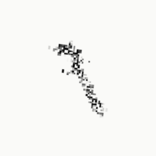 CCOc1cc(N2CCC(N3CCN(C(=O)CN4CCN(c5cc(F)c([C@H]6CCC(=O)NC6=O)c(F)c5)CC4)CC3)CC2)c(CC)cc1Nc1ncc(Br)c(Nc2ccc3c(=O)n(C)ncc3c2P(C)(C)=O)n1